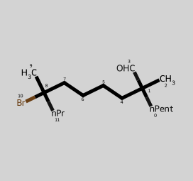 CCCCCC(C)(C=O)CCCCC(C)(Br)CCC